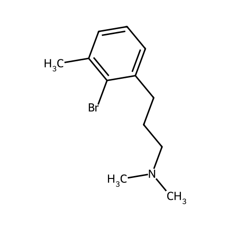 Cc1cccc(CCCN(C)C)c1Br